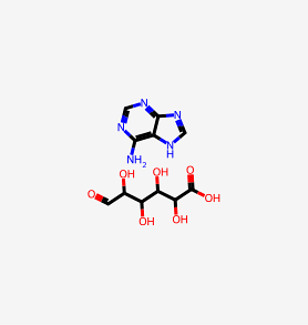 Nc1ncnc2nc[nH]c12.O=CC(O)C(O)C(O)C(O)C(=O)O